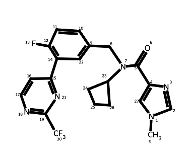 Cn1cnc(C(=O)N(Cc2ccc(F)c(-c3ccnc(C(F)(F)F)n3)c2)C2CCC2)c1